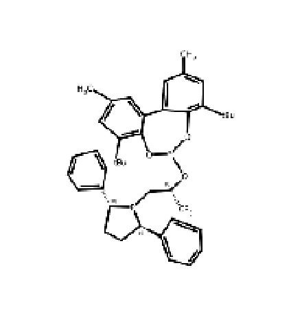 Cc1cc(C(C)(C)C)c2op(O[C@@H](CP3[C@@H](c4ccccc4)CC[C@@H]3c3ccccc3)C(F)(F)F)oc3c(C(C)(C)C)cc(C)cc3c2c1